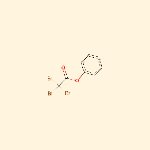 O=C(Oc1[c]cccc1)C(Br)(Br)Br